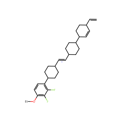 C=CC1C=CC(C2CCC(/C=C/C3CCC(c4ccc(OCC)c(F)c4F)CC3)CC2)CC1